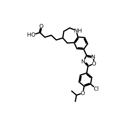 CC(C)Oc1ccc(-c2nc(-c3ccc4c(c3)CC(CCCC(=O)O)CCN4)no2)cc1Cl